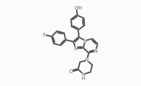 O=C1CN(c2nccn3c(-c4ccc(O)cc4)c(-c4ccc(F)cc4)nc23)CCN1